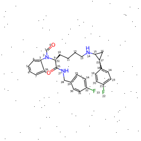 O=CN(c1ccccc1)[C@@H](CCCCNC1C[C@H]1c1ccc(F)cc1)C(=O)NCc1ccc(F)cc1